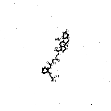 C[C@]12C[C@H](O)C3(F)[C@@H](CCC4=CC(=O)C=C[C@@]43C)C1CCC2C(=O)COC(=O)CNC(=O)Cc1ccccc1CON(O)O